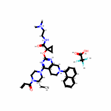 C=CC(=O)N1CCN(c2nc(OC3(C(=O)NCCN(C)C)CC3)nc3c2CCN(c2cccc4ccccc24)C3)C[C@@H]1CC#N.O=C(O)C(F)(F)F